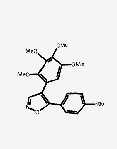 CCCCc1ccc(-c2oncc2-c2cc(OC)c(OC)c(OC)c2OC)cc1